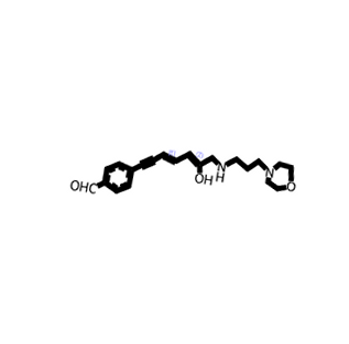 O=Cc1ccc(C#C/C=C/C=C(\O)CNCCCN2CCOCC2)cc1